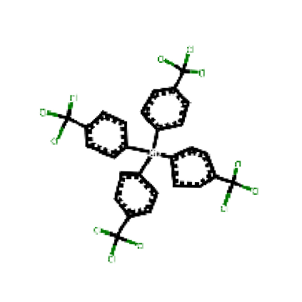 ClC(Cl)(Cl)c1cc[c]([Ga-]([c]2ccc(C(Cl)(Cl)Cl)cc2)([c]2ccc(C(Cl)(Cl)Cl)cc2)[c]2ccc(C(Cl)(Cl)Cl)cc2)cc1